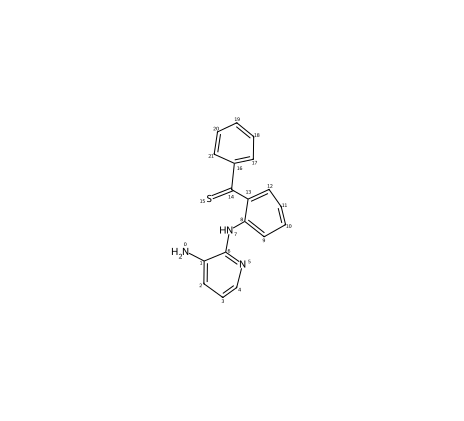 Nc1cccnc1Nc1ccccc1C(=S)c1ccccc1